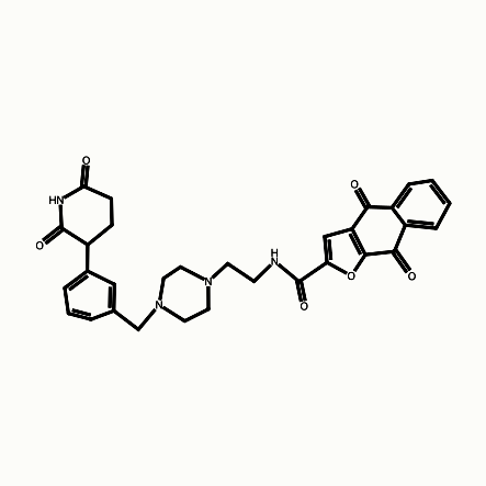 O=C1CCC(c2cccc(CN3CCN(CCNC(=O)c4cc5c(o4)C(=O)c4ccccc4C5=O)CC3)c2)C(=O)N1